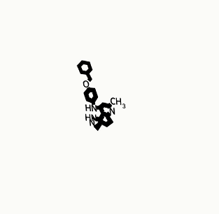 Cc1cc(Nc2ccc(OCC3CCCCC3)cc2)c2c(ccc3cn[nH]c32)n1